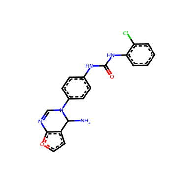 NC1c2ccoc2N=CN1c1ccc(NC(=O)Nc2ccccc2Cl)cc1